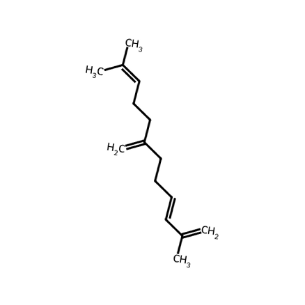 C=C(C)/C=C/CCC(=C)CCC=C(C)C